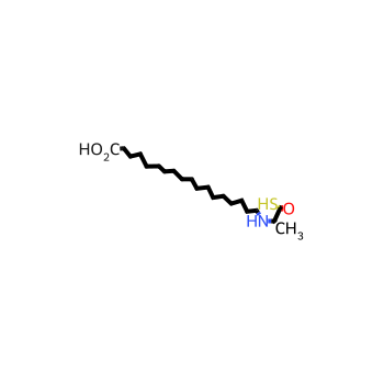 CC(NCCCCCCCCCCCCCCCCCC(=O)O)C(=O)S